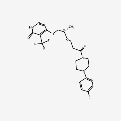 C[C@@H](COc1cn[nH]c(=O)c1C(F)(F)F)OCCC(=O)N1CCN(c2ccc(Cl)cn2)CC1